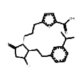 CC(C)c1cccc(CC[C@H]2C(Cl)CC(=O)[C@@H]2CCCc2ccc(C(=O)O)s2)c1